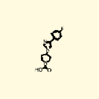 O=C(O)N1CCC(n2cnc(-c3ccc(F)cc3)c2)CC1